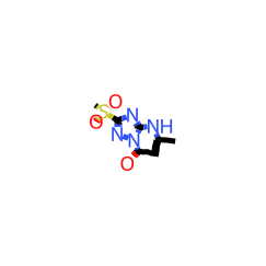 Cc1cc(=O)n2nc(S(C)(=O)=O)nc2[nH]1